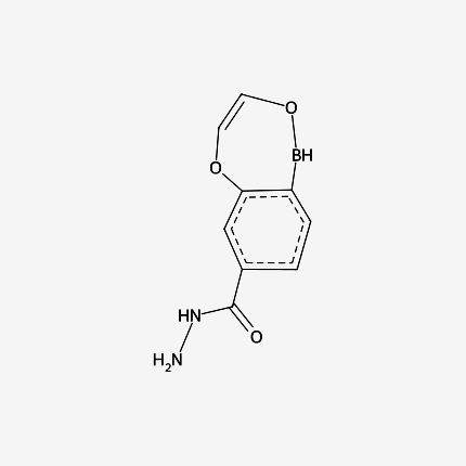 NNC(=O)c1ccc2c(c1)OC=COB2